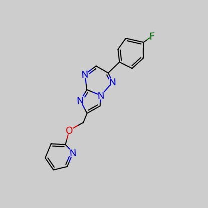 Fc1ccc(-c2cnc3nc(COc4ccccn4)cn3n2)cc1